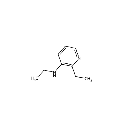 CCNc1[c]ccnc1CC